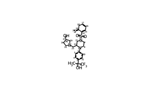 CC(O)(c1ccc(N2CCN(S(=O)(=O)C3=CC=CCC3=S)CC2CN2CC[C@@H](O)C2)cc1)C(F)(F)F